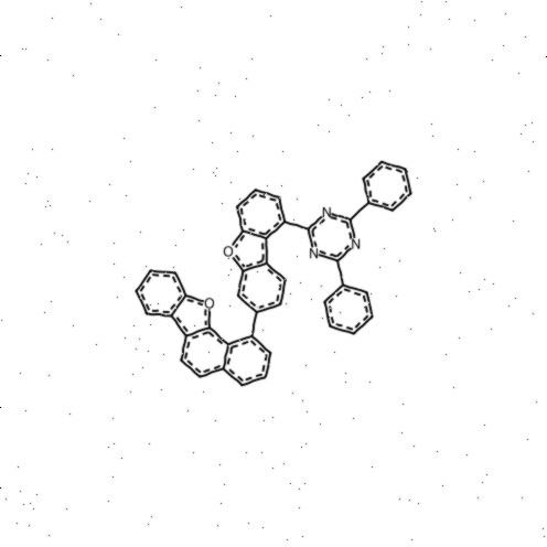 c1ccc(-c2nc(-c3ccccc3)nc(-c3cccc4oc5cc(-c6cccc7ccc8c9ccccc9oc8c67)ccc5c34)n2)cc1